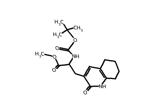 COC(=O)C(Cc1cc2c([nH]c1=O)CCCC2)NC(=O)OC(C)(C)C